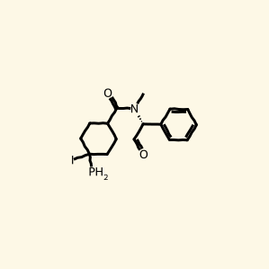 CN(C(=O)C1CCC(P)(I)CC1)[C@@H](C=O)c1ccccc1